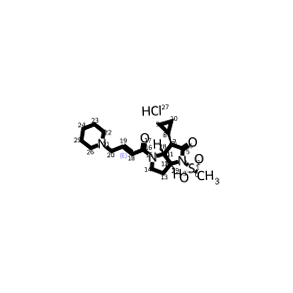 CS(=O)(=O)N1C(=O)[C@H](C2CC2)[C@@H]2[C@@H]1CCN2C(=O)/C=C/CN1CCCCC1.Cl